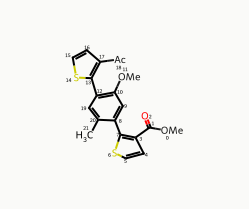 COC(=O)c1ccsc1-c1cc(OC)c(-c2sccc2C(C)=O)cc1C